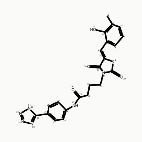 Cc1cccc(/C=C2\SC(=O)N(CCCC(=O)Nc3ccc(-c4nnn[nH]4)cc3)C2=O)c1O